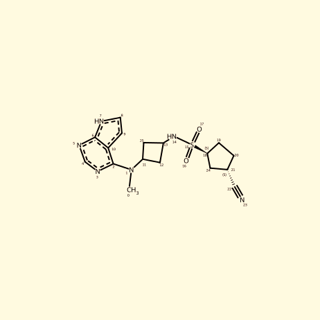 CN(c1ncnc2[nH]ccc12)C1CC(NS(=O)(=O)[C@H]2CC[C@H](C#N)C2)C1